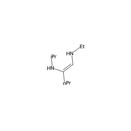 CCCC(=CNCC)NC(C)C